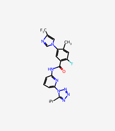 Cc1cc(F)c(C(=O)Nc2cccc(-n3nnnc3C(C)C)n2)cc1-n1cnc(C(F)(F)F)c1